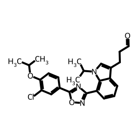 CC(C)Oc1ccc(-c2nc(-c3cccc4c(CCC=O)cn(C(C)C)c34)no2)cc1Cl